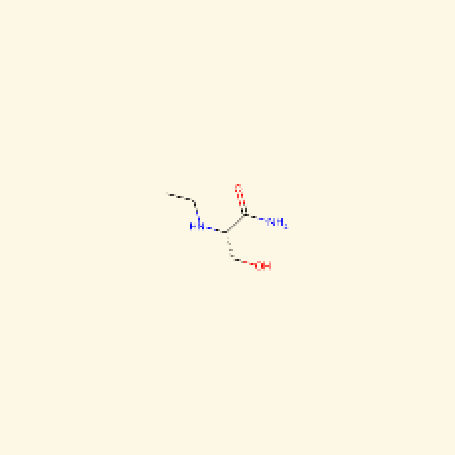 CCN[C@@H](CO)C(N)=O